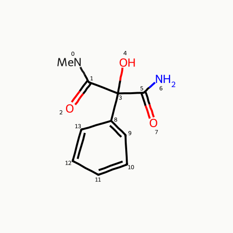 CNC(=O)C(O)(C(N)=O)c1ccccc1